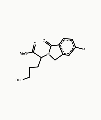 CNC(=O)C(CCCC=O)N1Cc2cc(F)ccc2C1=O